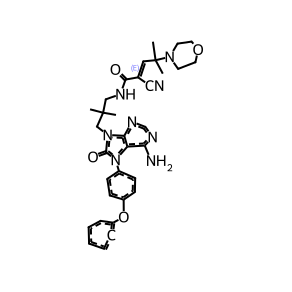 CC(C)(CNC(=O)/C(C#N)=C/C(C)(C)N1CCOCC1)Cn1c(=O)n(-c2ccc(Oc3ccccc3)cc2)c2c(N)ncnc21